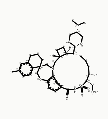 COC[C@H]1[C@@H](C)CCC[C@@H]([C@H]2OC[C@@H](N(C)C)CO2)[C@@H]2CC[C@H]2CN2C[C@@]3(CCCc4cc(Cl)ccc43)COc3ccc(cc32)C(=O)NS1(=O)=O